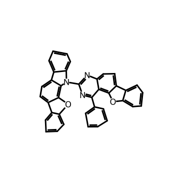 c1ccc(-c2nc(-n3c4ccccc4c4ccc5c6ccccc6oc5c43)nc3ccc4c5ccccc5oc4c23)cc1